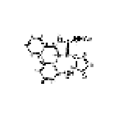 CC(=O)Nc1oc(-c2ccccc2-c2cccc(O)c2)nc1-c1ccsc1